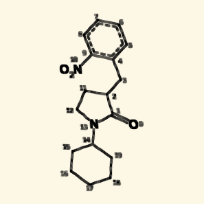 O=C1C(Cc2ccccc2[N+](=O)[O-])CCN1C1CCCCC1